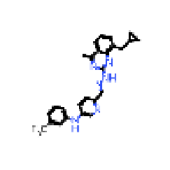 Cc1nc(N/N=C/c2ccc(Nc3cccc(C(F)(F)F)c3)cn2)nc2c(CC3CC3)cccc12